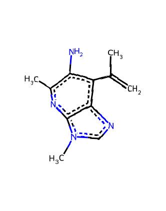 C=C(C)c1c(N)c(C)nc2c1ncn2C